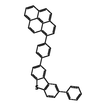 c1ccc(-c2ccc3sc4ccc(-c5ccc(-c6ccc7ccc8cccc9ccc6c7c89)cc5)cc4c3c2)cc1